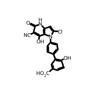 N#Cc1c(O)c2c(cc(Cl)n2-c2ccc(-c3cc(C(=O)O)ccc3O)cc2)[nH]c1=O